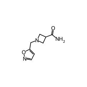 NC(=O)C1CN(Cc2ccno2)C1